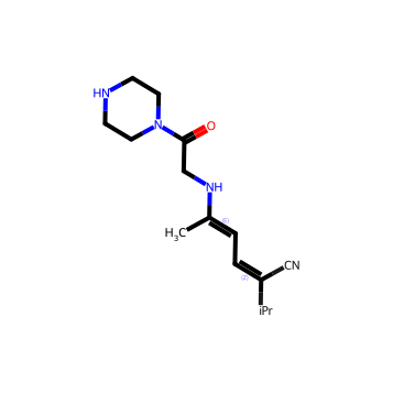 C/C(=C\C=C(/C#N)C(C)C)NCC(=O)N1CCNCC1